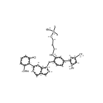 COc1cccc(Cl)c1-c1ncc2cnn(Cc3ccc(-c4nc(C(F)(F)F)cn4C(C)C)cc3NCCCO[Si](C)(C)C(C)(C)C)c2n1